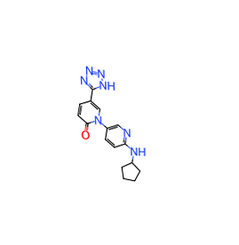 O=c1ccc(-c2nnn[nH]2)cn1-c1ccc(NC2CCCC2)nc1